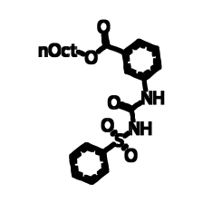 CCCCCCCCOC(=O)c1cccc(NC(=O)NS(=O)(=O)c2ccccc2)c1